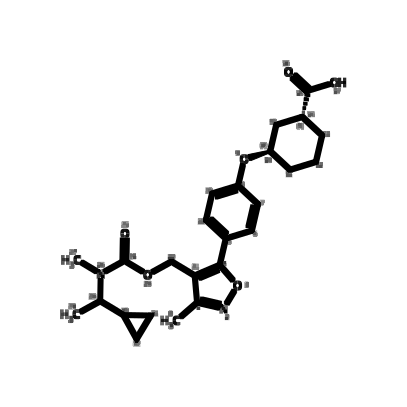 Cc1noc(-c2ccc(O[C@@H]3CCC[C@@H](C(=O)O)C3)cc2)c1COC(=O)N(C)C(C)C1CC1